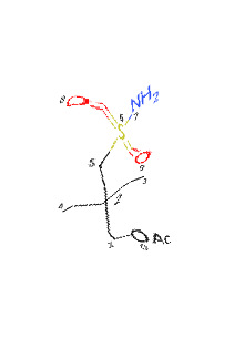 CC(=O)OCC(C)(C)CS(N)(=O)=O